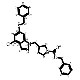 O=C(OCc1ccccc1)N1CCC(Cn2ncc3c(Cl)cc(SCc4ccccc4)cc32)C1